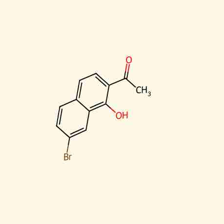 CC(=O)c1ccc2ccc(Br)cc2c1O